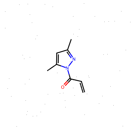 C=CC(=O)n1nc(C)cc1C